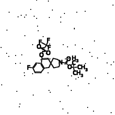 CC(C)(C)OC(=O)N1CCC2(C=C(OS(=O)(=O)C(F)(F)F)c3cc(F)ccc3C2)CC1